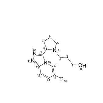 OCCCN1CCCC1c1nnc2ccc(F)cn12